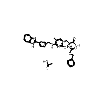 CC(=O)O.Cc1cn(C[C@H](NC(=O)OCc2ccccc2)C(=O)O)c(=O)nc1NCc1ccc(-c2nc3ccccc3[nH]2)s1